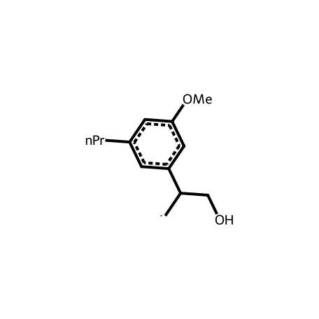 [CH2]C(CO)c1cc(CCC)cc(OC)c1